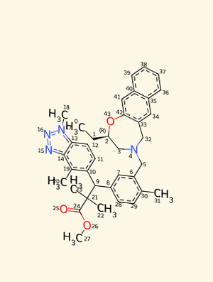 CC[C@@H]1CN(Cc2cc(C(c3ccc4c(nnn4C)c3C)C(C)(C)C(=O)OC)ccc2C)Cc2cc3ccccc3cc2O1